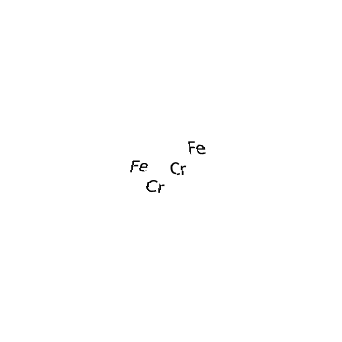 [Cr].[Cr].[Fe].[Fe]